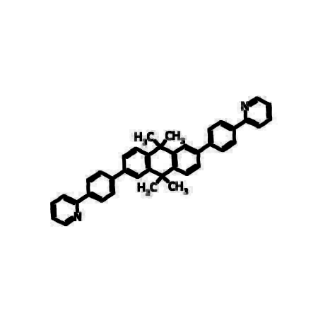 CC1(C)c2ccc(-c3ccc(-c4ccccn4)cc3)cc2C(C)(C)c2ccc(-c3ccc(-c4ccccn4)cc3)cc21